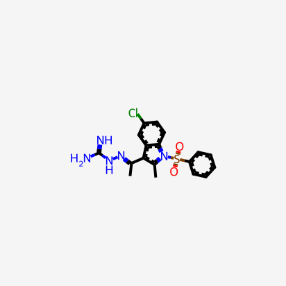 CC(=NNC(=N)N)c1c(C)n(S(=O)(=O)c2ccccc2)c2ccc(Cl)cc12